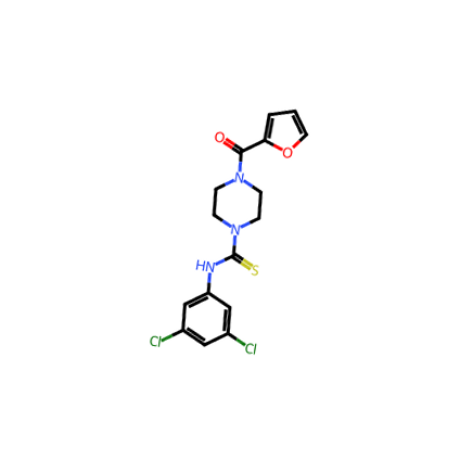 O=C(c1ccco1)N1CCN(C(=S)Nc2cc(Cl)cc(Cl)c2)CC1